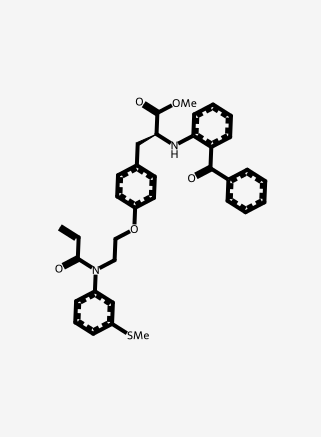 C=CC(=O)N(CCOc1ccc(C[C@H](Nc2ccccc2C(=O)c2ccccc2)C(=O)OC)cc1)c1cccc(SC)c1